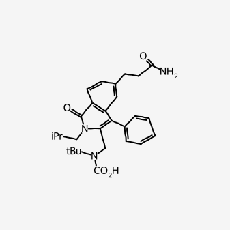 CC(C)Cn1c(CN(C(=O)O)C(C)(C)C)c(-c2ccccc2)c2cc(CCC(N)=O)ccc2c1=O